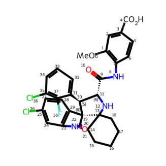 COc1cc(C(=O)O)ccc1NC(=O)[C@@H]1NC2(CCCCC2)[C@@]2(C(=O)Nc3cc(Cl)ccc32)[C@H]1c1cccc(Cl)c1F